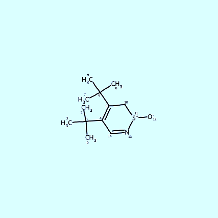 CC(C)(C)C1=C(C(C)(C)C)C[S+]([O-])N=C1